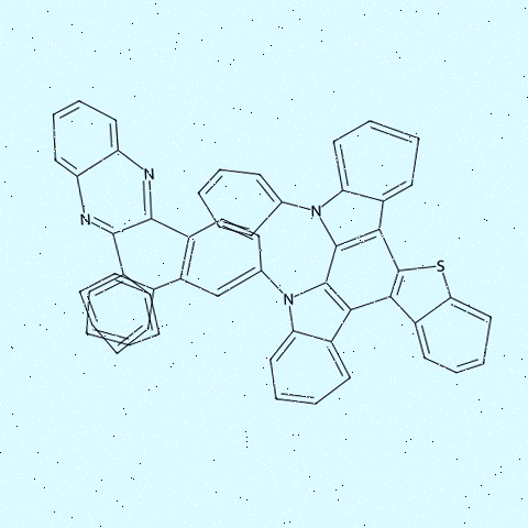 c1ccc(-c2cc(-n3c4ccccc4c4c5c6ccccc6sc5c5c6ccccc6n(-c6ccccc6)c5c43)ccc2-c2nc3ccccc3nc2-c2ccccc2)cc1